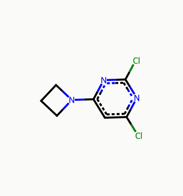 Clc1cc(N2CCC2)nc(Cl)n1